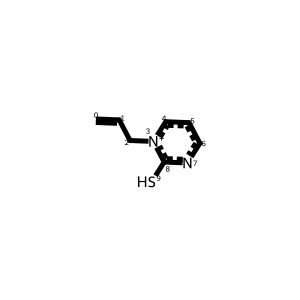 C=CC[n+]1cccnc1S